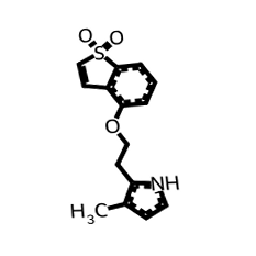 Cc1cc[nH]c1CCOc1cccc2c1C=CS2(=O)=O